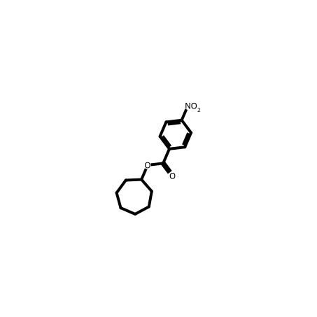 O=C(OC1CCCCCC1)c1ccc([N+](=O)[O-])cc1